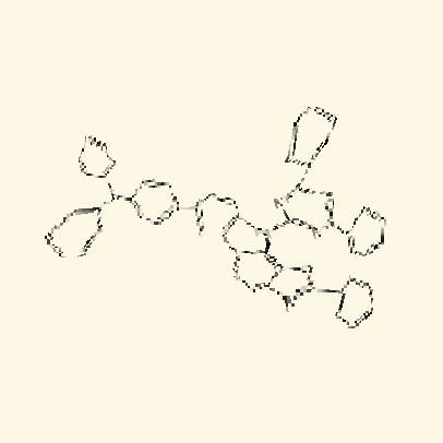 c1ccc(-c2cc(-c3ccccc3)nc(-n3c4ccc(-c5ccc(N(c6ccccc6)c6ccccc6)cc5)cc4c4ccc5nc(-c6ccccc6)oc5c43)n2)cc1